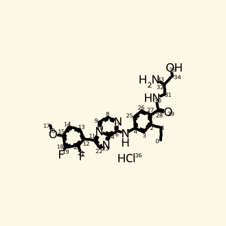 CCc1cc(Nc2nccn3c(-c4ccc(OC)c(F)c4F)cnc23)ccc1C(=O)NCC(N)CO.Cl